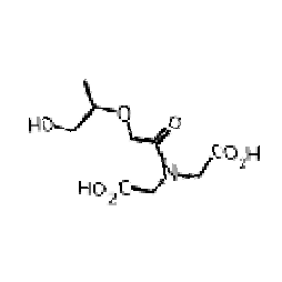 CC(CO)OCC(=O)N(CC(=O)O)CC(=O)O